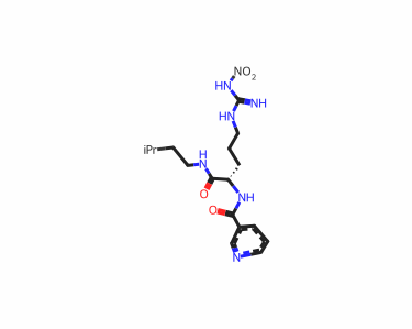 CC(C)CCNC(=O)[C@H](CCCNC(=N)N[N+](=O)[O-])NC(=O)c1cccnc1